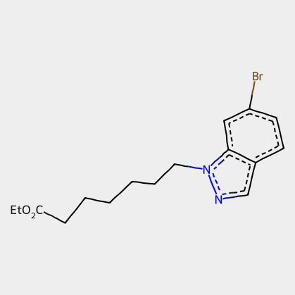 CCOC(=O)CCCCCCn1ncc2ccc(Br)cc21